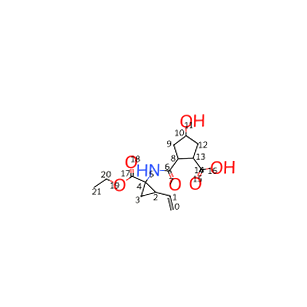 C=CC1CC1(NC(=O)C1CC(O)CC1C(=O)O)C(=O)OCC